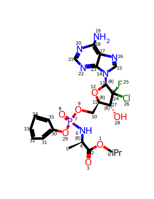 CC(C)OC(=O)[C@@H](C)NP(=O)(OC[C@H]1O[C@@H](n2cnc3c(N)ncnc32)[C@](F)(Cl)[C@@H]1O)Oc1ccccc1